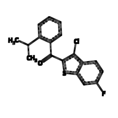 CC(C)c1ccccc1C(=O)c1sc2cc(F)ccc2c1Cl